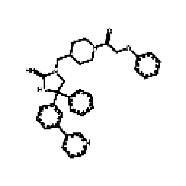 N=C1NC(c2ccccc2)(c2cccc(-c3cccnc3)c2)CN1CC1CCN(C(=O)COc2ccccc2)CC1